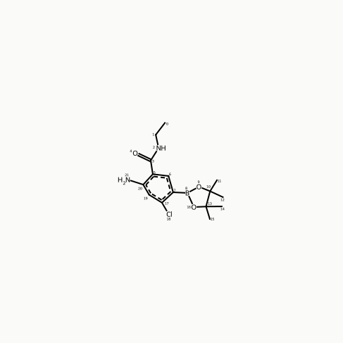 CCNC(=O)c1cc(B2OC(C)(C)C(C)(C)O2)c(Cl)cc1N